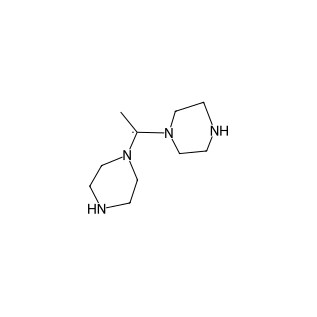 C[C](N1CCNCC1)N1CCNCC1